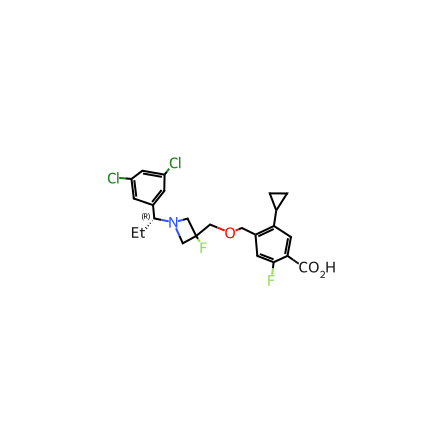 CC[C@H](c1cc(Cl)cc(Cl)c1)N1CC(F)(COCc2cc(F)c(C(=O)O)cc2C2CC2)C1